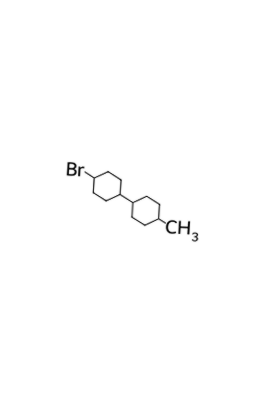 CC1CCC(C2CCC(Br)CC2)CC1